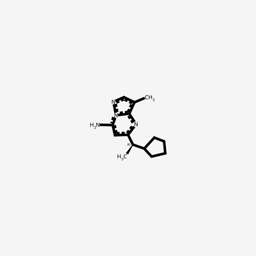 Cc1cnn2c(N)cc([C@H](C)C3CCCC3)nc12